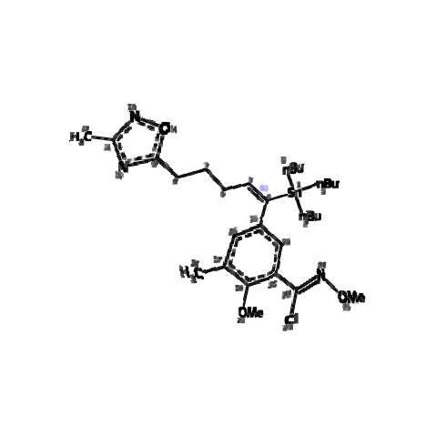 CCC[CH2][Sn]([CH2]CCC)([CH2]CCC)/[C](=C/CCCc1nc(C)no1)c1cc(C)c(OC)c(C(Cl)=NOC)c1